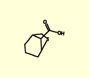 O=C(O)C1C2CCCC1SC2